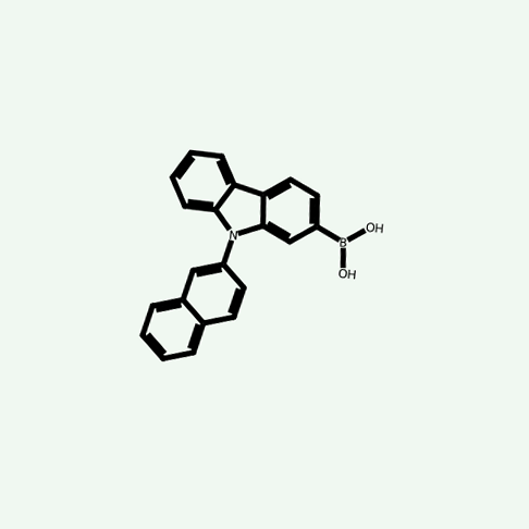 OB(O)c1ccc2c3ccccc3n(-c3ccc4ccccc4c3)c2c1